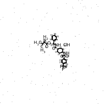 CC(C)[C@H](N)C(=O)OC[C@@H](NC(=O)[C@H]1CC[C@H](NS(=O)(=O)c2ccc(C(F)(F)F)cc2)CC1)c1ccccc1.Cl